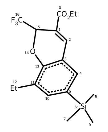 CCOC(=O)C1=Cc2cc([Si](C)(C)C)cc(CC)c2OC1C(F)(F)F